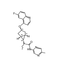 CCC(C(=O)Nc1cnc(C)cn1)[C@H]1[C@@H]2C[C@@H](Oc3ccnc4ccc(F)cc34)C[C@@H]21